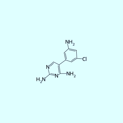 Nc1cc(Cl)cc(-c2cnc(N)nc2N)c1